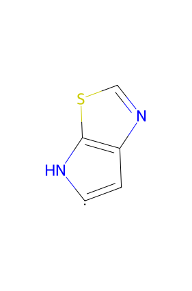 [c]1cc2ncsc2[nH]1